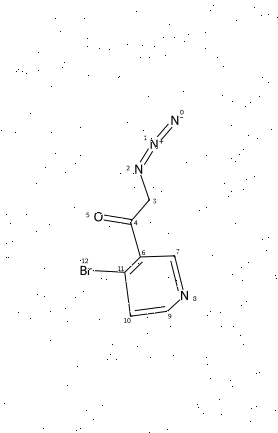 [N-]=[N+]=NCC(=O)c1cnccc1Br